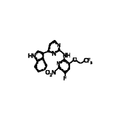 O=[N+]([O-])c1nc(Nc2nccc(-c3c[nH]c4ccccc34)n2)c(OCC(F)(F)F)cc1F